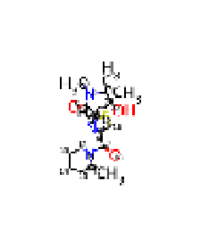 CC(N(C)C(=O)c1nc(C(=O)N2CCCC[C@@H]2C)cs1)C(C)(C)O